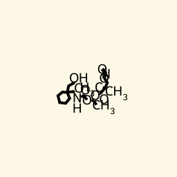 CC(OC(=O)NCC1(CC(=O)O)CCCCC1)OC(=O)C(C)(C)CON=O